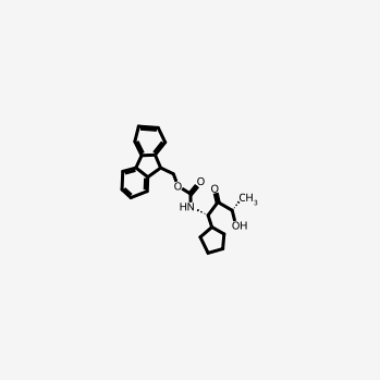 C[C@H](O)C(=O)[C@@H](NC(=O)OCC1c2ccccc2-c2ccccc21)C1CCCC1